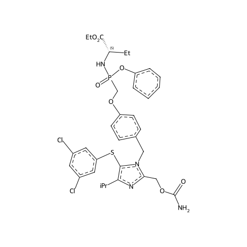 CCOC(=O)[C@H](CC)NP(=O)(COc1ccc(Cn2c(COC(N)=O)nc(C(C)C)c2Sc2cc(Cl)cc(Cl)c2)cc1)Oc1ccccc1